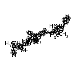 CC(C)[C@H](C(=O)N1C[C@H](O)C[C@H]1C(=O)NCc1ccc2c(c1)OCc1ncsc1-2)c1cc(OCCCCC(=O)N2CCN(CC[C@H](CSc3ccccc3)Nc3ccc(S(=O)(=O)NC(=O)c4ccc(N5CCN(CC6=C(c7ccc(Cl)cc7)CCC(C)(C)C6)C[C@@H]5CO)cc4)cc3S(=O)(=O)C(F)(F)F)CC2)no1